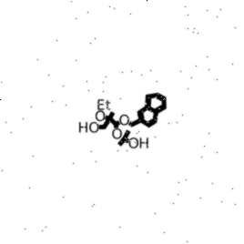 CCOC(C)(CO)C(OCc1ccc2ccccc2c1)OC(C)(C)O